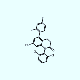 Cc1cc(F)ccc1-c1cc(O)cc2c1CCC(=O)N2c1c(Cl)cccc1Cl